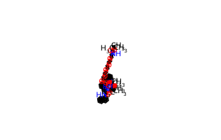 C[C@@H](C(=O)N[C@H](C(=O)N1Cc2cc(OCCOCCOCCOCCOCCNC(=O)OC(C)(C)C)ccc2C[C@H]1C(=O)N[C@@H]1CCCc2ccccc21)C(C)(C)C)N(C)C(=O)OCc1ccccc1